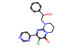 O=c1c(Cl)c(-c2ccncn2)nc2n1CCCN2CC(O)c1ccccc1